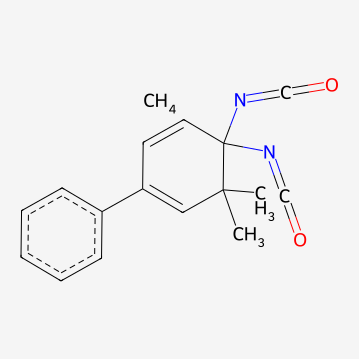 C.CC1(C)C=C(c2ccccc2)C=CC1(N=C=O)N=C=O